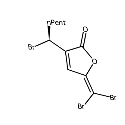 CCCCC[C@H](Br)C1=CC(=C(Br)Br)OC1=O